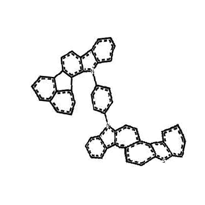 c1cc2c3c(cccc3c1)-c1c-2ccc2c3ccccc3n(-c3ccc(-n4c5ccccc5c5c6ccc7sc8ccccc8c7c6ccc54)cc3)c12